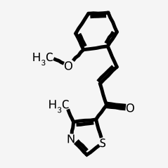 COc1ccccc1/C=C/C(=O)c1scnc1C